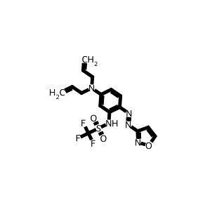 C=CCN(CC=C)c1ccc(N=Nc2ccon2)c(NS(=O)(=O)C(F)(F)F)c1